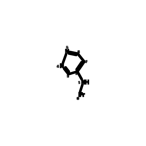 CC(C)Nc1[c]nncc1